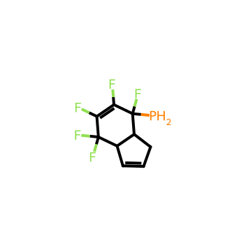 FC1=C(F)C(F)(P)C2CC=CC2C1(F)F